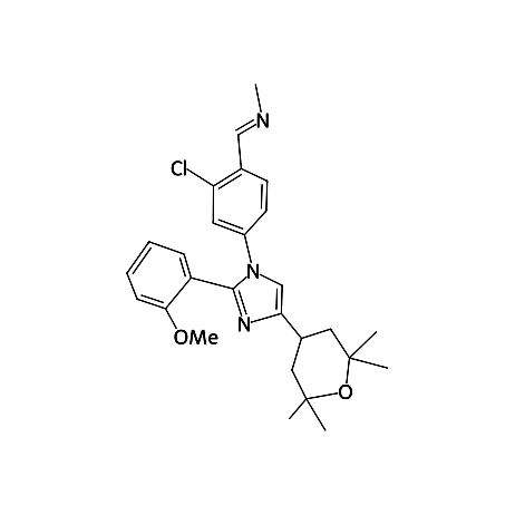 CN=Cc1ccc(-n2cc(C3CC(C)(C)OC(C)(C)C3)nc2-c2ccccc2OC)cc1Cl